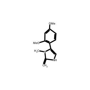 C=C1NC=C(c2ccc(OC)cc2OC)N1C